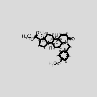 COC(=O)C1CC[C@H]2[C@@H]3CCC4N(Cc5ccc(OC)cc5)C(=O)C=C[C@]4(C)[C@@H]3CC[C@]12C